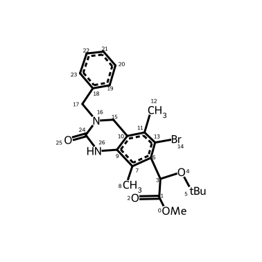 COC(=O)C(OC(C)(C)C)c1c(C)c2c(c(C)c1Br)CN(Cc1ccccc1)C(=O)N2